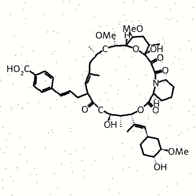 CO[C@H]1C[C@@H](C)C/C(C)=C/C(C/C=C/c2ccc(C(=O)O)cc2)C(=O)C[C@H](O)[C@@H](C)[C@@H](/C(C)=C/[C@@H]2CC[C@@H](O)[C@H](OC)C2)OC(=O)[C@@H]2CCCCN2C(=O)C(=O)[C@]2(O)O[C@H]1[C@@H](OC)C[C@H]2C